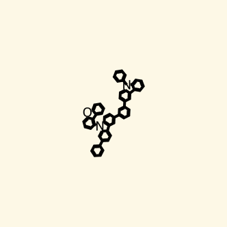 c1ccc(-c2ccc3c4cc(-c5cccc(-c6ccc7c(c6)c6ccccc6n7-c6ccccc6)c5)ccc4n(-c4cccc5oc6ccccc6c45)c3c2)cc1